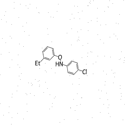 CCc1cccc(ONc2ccc(Cl)cc2)c1